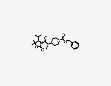 CC(C)C1N(C(=O)[C@@H](F)C2CCN(C(=O)OCc3ccccc3)CC2)C(=O)OC1(C)C